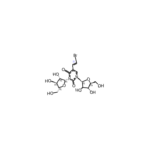 O=c1c(/C=C/Br)cn([C@H]2O[C@@H](CO)C(O)C2O)c(=O)n1[C@@H]1O[C@H](CO)[C@@H](O)[C@@H]1O